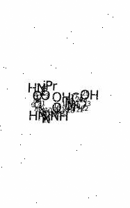 CC(C)NC(=O)O[C@@H]1CC[C@H](c2cc(NC(=O)Cc3cnn(-c4cccc(O)c4C=O)c3)n[nH]2)C1